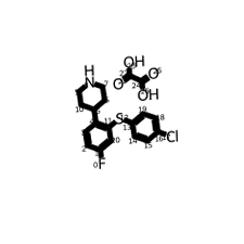 Fc1ccc(C2CCNCC2)c(Sc2ccc(Cl)cc2)c1.O=C(O)C(=O)O